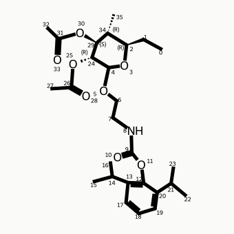 CC[C@H]1OC(OCCNC(=O)Oc2c(C(C)C)cccc2C(C)C)[C@H](OC(C)=O)[C@@H](OC(C)=O)[C@@H]1C